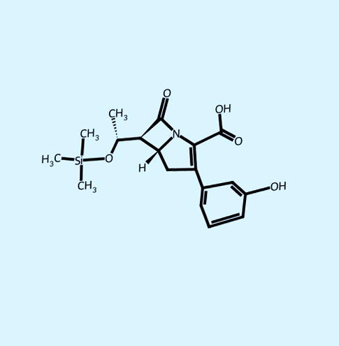 C[C@@H](O[Si](C)(C)C)[C@H]1C(=O)N2C(C(=O)O)=C(c3cccc(O)c3)C[C@H]12